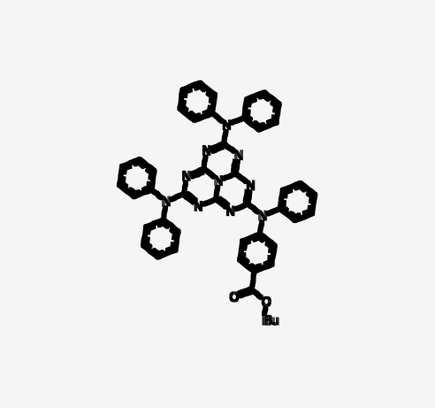 CCC(C)OC(=O)c1ccc(N(C2=NC3=NC(N(c4ccccc4)c4ccccc4)=NC4=NC(N(c5ccccc5)c5ccccc5)=NC(=N2)N43)c2ccccc2)cc1